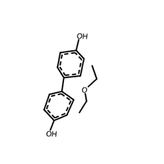 CCOCC.Oc1ccc(-c2ccc(O)cc2)cc1